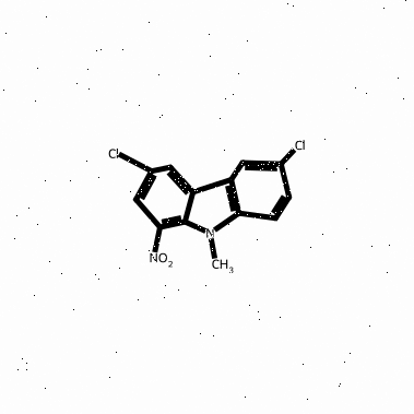 Cn1c2ccc(Cl)cc2c2cc(Cl)cc([N+](=O)[O-])c21